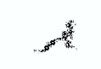 BP(=O)(OC[C@H]1O[C@@H](n2cnc3c(N)ncnc32)[C@H](F)[C@@H]1OP=O)O[C@H]1[C@@H](F)[C@H](n2cnc3c(N)ncnc32)O[C@@H]1COCSCc1ccc(OC(=O)c2ccc(OCCN)cc2)cc1